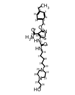 CCc1ccc(COc2nsc(NC(=O)NCCCCCN3CCN(CCO)CC3)c2C(N)=O)cc1